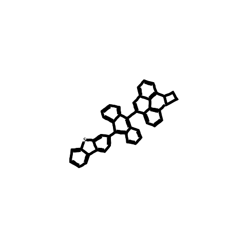 Cc1cccc2c(-c3c4ccccc4c(-c4ccc5c(c4)sc4ccccc45)c4ccccc34)cc3cccc(C4CCC4)c3c12